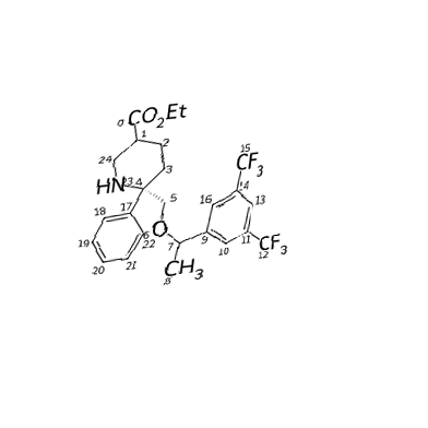 CCOC(=O)C1CC[C@@](COC(C)c2cc(C(F)(F)F)cc(C(F)(F)F)c2)(c2ccccc2)NC1